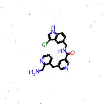 NCc1ncccc1Cc1cncc(C(=O)NCc2ccc3[nH]cc(Cl)c3c2)c1